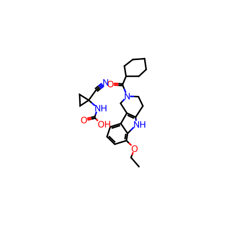 CCOc1cccc2c3c([nH]c12)CCN(C(=O)C1CCCCC1)C3.N#CC1(NC(=O)O)CC1